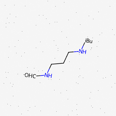 CCC(C)NCCCN[C]=O